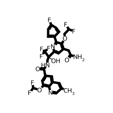 Cc1cnc2c(OC(F)F)cc(C(=O)NC[C@](O)(c3cc(CC(N)=O)c(OCC(F)F)c(-c4ccc(F)cc4)n3)C(F)(F)F)cc2c1